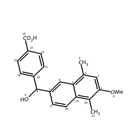 COc1cc(C)c2cc(C(O)c3ccc(C(=O)O)cc3)ccc2c1C